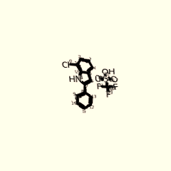 Clc1cccc2cc(-c3ccccc3)[nH]c12.O=S(=O)(O)C(F)(F)F